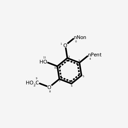 CCCCCCCCCOc1c(CCCCC)ccc(OC(=O)O)c1O